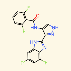 O=C(Nc1c[nH]nc1-c1nc2c(F)cc(F)cc2[nH]1)c1c(F)cccc1F